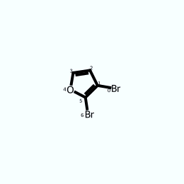 Brc1ccoc1Br